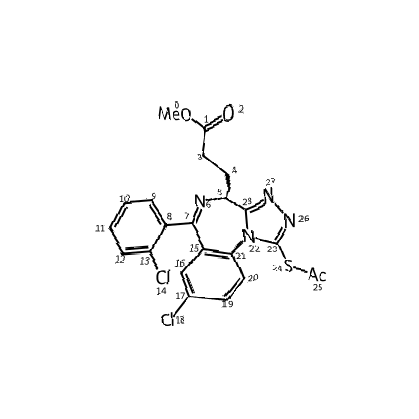 COC(=O)CC[C@@H]1N=C(c2ccccc2Cl)c2cc(Cl)ccc2-n2c(SC(C)=O)nnc21